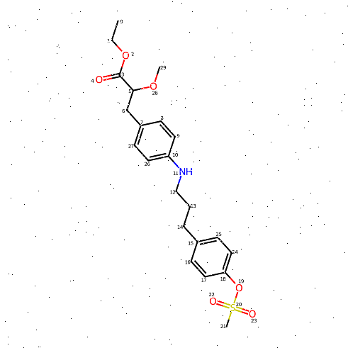 CCOC(=O)C(Cc1ccc(NCCCc2ccc(OS(C)(=O)=O)cc2)cc1)OC